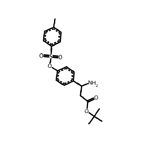 Cc1ccc(S(=O)(=O)Oc2ccc(C(N)CC(=O)OC(C)(C)C)cc2)cc1